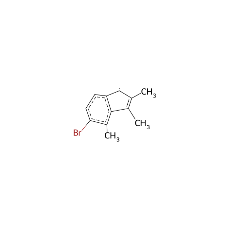 CC1=C(C)c2c(ccc(Br)c2C)[CH]1